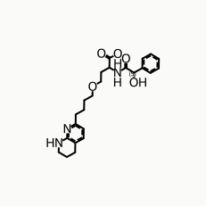 O=C(O)C(CCOCCCCc1ccc2c(n1)NCCC2)NC(=O)[C@@H](O)c1ccccc1